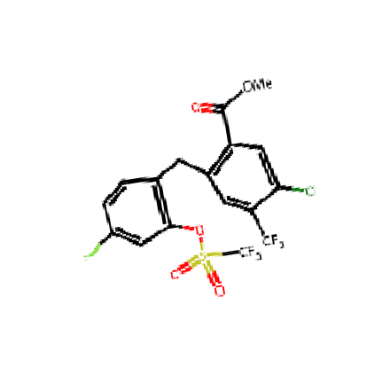 COC(=O)c1cc(Cl)c(C(F)(F)F)cc1Cc1ccc(F)cc1OS(=O)(=O)C(F)(F)F